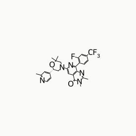 Cc1cc([C@H]2CN(c3cc4c(=O)n(C)c(C)nc4c(-c4ccc(C(F)(F)F)cc4F)n3)CC(C)(C)O2)ccn1